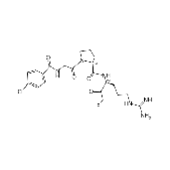 N=C(N)NCCC[C@H](NC(=O)[C@@H]1CCCN1C(=O)CNC(=O)c1ccc(Cl)cc1)C(=O)CF